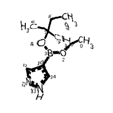 CCOB(OC(C)(C)CC)c1cn[nH]c1